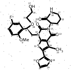 COc1ccc(F)cc1[C@H](Cn1c(=O)n([C@@H]2CCCNC2=O)c(=O)c2c(C)c(-c3ncco3)sc21)OCCO